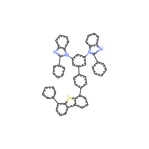 c1ccc(-c2cccc3c2sc2c(-c4ccc(-c5cc(-n6c(-c7ccccc7)nc7ccccc76)cc(-n6c(-c7ccccc7)nc7ccccc76)c5)cc4)cccc23)cc1